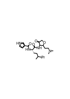 CC(C)C(C)CC[C@H](NC(=O)c1cc[nH]c1)C(=O)NC1C(=O)COC1CCN(C)C